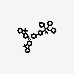 Cn1c(-c2ccccc2)c(-c2ccccc2)c(-c2ccccc2)c1-c1ccc(-c2ccc(N(c3ccc4c(c3)C(C)(C)c3ccccc3-4)c3ccc4c(c3)C(C)(C)c3ccccc3-4)cc2)cc1